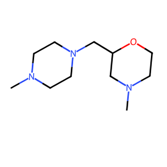 CN1CCN(CC2CN(C)CCO2)CC1